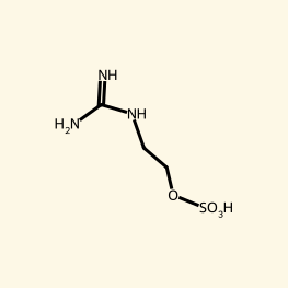 N=C(N)NCCOS(=O)(=O)O